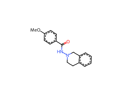 COc1ccc(C(=O)NN2CCc3ccccc3C2)cc1